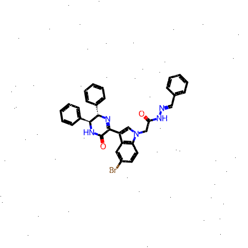 O=C(Cn1cc(C2=N[C@@H](c3ccccc3)[C@H](c3ccccc3)NC2=O)c2cc(Br)ccc21)NN=Cc1ccccc1